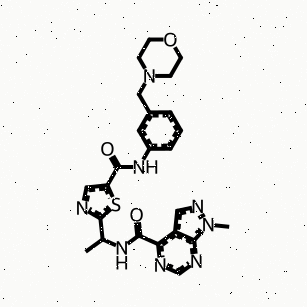 CC(NC(=O)c1ncnc2c1cnn2C)c1ncc(C(=O)Nc2cccc(CN3CCOCC3)c2)s1